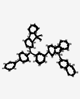 CC1(C)c2ccccc2-c2ccc(N(c3ccc(-c4ccccc4)cc3)c3cccc(-c4ccc5c6ccccc6n(-c6ccc7ccccc7c6)c5c4)c3)cc21